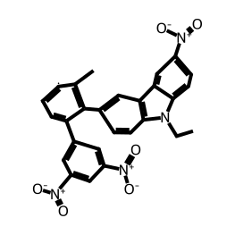 CCn1c2ccc(-c3c(C)[c]ccc3-c3cc([N+](=O)[O-])cc([N+](=O)[O-])c3)cc2c2cc([N+](=O)[O-])ccc21